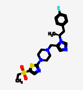 CCS(=O)(=O)c1cnc(N2CCN(Cc3cncn3[C@H](C)Cc3ccc(F)cc3)CC2)s1